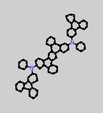 c1ccc(N(c2ccc3c4ccccc4c4ccccc4c3c2)c2ccc3c(c2)c2ccccc2c2cc4c5ccc(N(c6ccccc6)c6ccc7c8ccccc8c8ccccc8c7c6)cc5c5ccccc5c4cc32)cc1